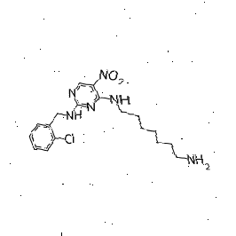 NCCCCCCCNc1nc(NCc2ccccc2Cl)ncc1[N+](=O)[O-]